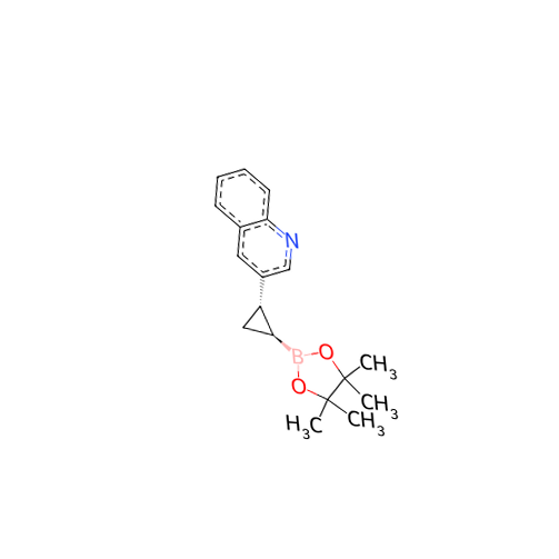 CC1(C)OB([C@H]2C[C@@H]2c2cnc3ccccc3c2)OC1(C)C